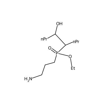 CCCC(O)C(CCC)P(=O)(CCCN)OCC